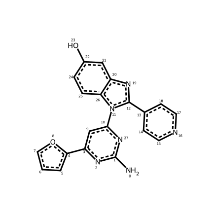 Nc1nc(-c2ccco2)cc(-n2c(-c3ccncc3)nc3cc(O)ccc32)n1